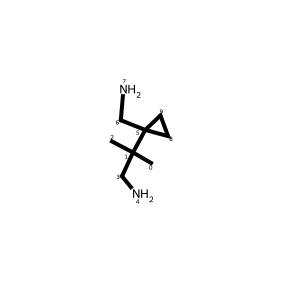 CC(C)(CN)C1(CN)CC1